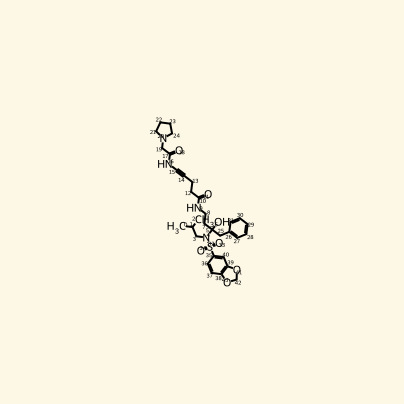 CC(C)CN(C(O)(CCNC(=O)CCC#CNC(=O)CN1CCCC1)Cc1ccccc1)S(=O)(=O)c1ccc2c(c1)OCO2